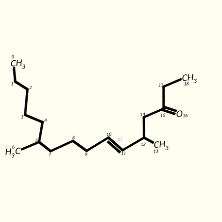 CCCCCC(C)CCC/C=C/C(C)CC(=O)CC